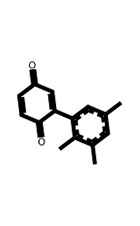 Cc1cc(C)c(C)c(C2=CC(=O)C=CC2=O)c1